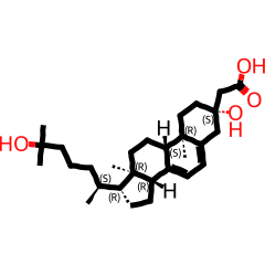 C[C@@H](CCCC(C)(C)O)[C@H]1CC[C@H]2C3=CC=C4C[C@](O)(CC(=O)O)CC[C@]4(C)[C@H]3CC[C@]12C